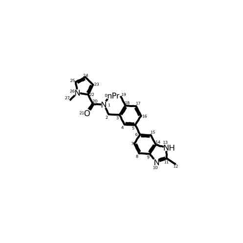 CCCN(Cc1cc(-c2ccc3nc(C)[nH]c3c2)ccc1C)C(=O)c1cccn1C